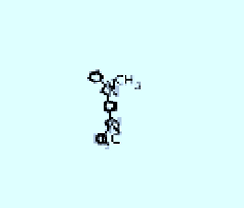 CCn1nc(-c2ccc(-c3cc(-c4ccccc4)n(CC)n3)cc2)cc1-c1ccccc1